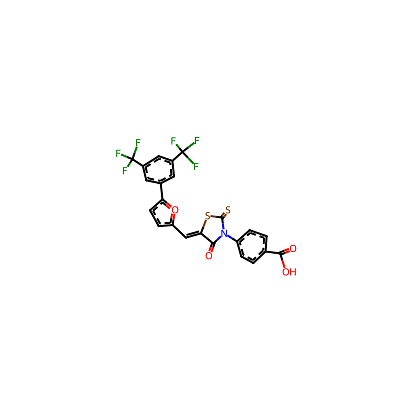 O=C(O)c1ccc(N2C(=O)C(=Cc3ccc(-c4cc(C(F)(F)F)cc(C(F)(F)F)c4)o3)SC2=S)cc1